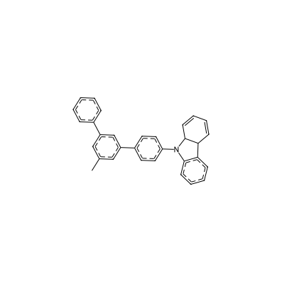 Cc1cc(-c2ccccc2)cc(-c2ccc(N3c4ccccc4C4C=CC=CC43)cc2)c1